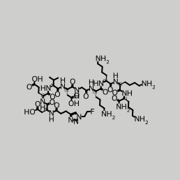 CC(C)[C@H](NC(=O)[C@H](CCC(=O)O)NC(=O)[C@H](CC(=O)O)NC(=O)CCc1cn(CCF)nn1)C(=O)N[C@@H](CC(=O)O)C(=O)NCC(=O)N[C@@H](CCCCN)C(=O)N[C@@H](CCCCN)C(=O)N[C@@H](CCCCN)C(=O)N[C@@H](CCCCN)C(N)=O